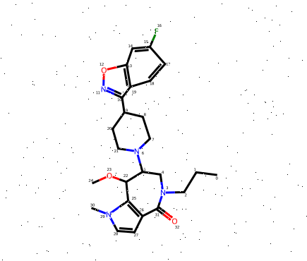 CCCN1CC(N2CCC(c3noc4cc(F)ccc34)CC2)C(OC)c2c(ccn2C)C1=O